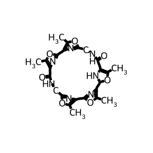 CC1=C2NC(O1)c1nc(oc1C)-c1nc(oc1C)CNC(=O)c1nc(oc1C)-c1nc(oc1C)CNC2=O